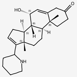 C[C@]12CCC(=O)CC1=C[C@@H](O)[C@@H]1[C@@H]2CC[C@]2(C)C(C3CCCCN3)=CC[C@@H]12